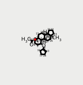 CC(=O)OC[C@@]12C(=CCCC1OC1=CCCC1)CC[C@H]1[C@@H]3CCC[C@@]3(C)CC[C@@H]12